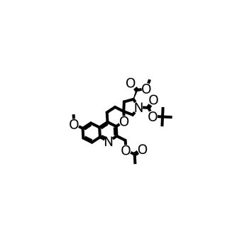 COC(=O)[C@@H]1CC2(CCc3c(c(COC(C)=O)nc4ccc(OC)cc34)O2)CN1C(=O)OC(C)(C)C